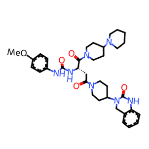 COc1ccc(NC(=O)N[C@@H](CC(=O)N2CCC(N3Cc4ccccc4NC3=O)CC2)C(=O)N2CCC(N3CCCCC3)CC2)cc1